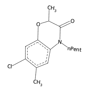 CCCCCN1C(=O)C(C)Oc2cc(Cl)c(C)cc21